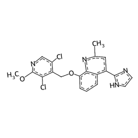 COc1ncc(Cl)c(COc2cccc3c(-c4ncc[nH]4)cc(C)nc23)c1Cl